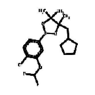 CC1(C)OB(c2ccc(Cl)c(OC(F)F)c2)OC1(C)CC1CCCC1